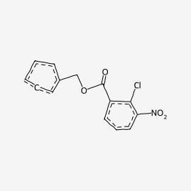 O=C(OCc1ccccc1)c1cccc([N+](=O)[O-])c1Cl